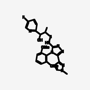 COc1cccc(OC)c1-n1c(NSC(C)C(O)c2ccc(F)cn2)nnc1-c1ccn(C)n1